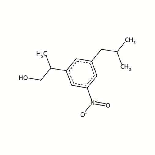 C[C](CO)c1cc(CC(C)C)cc([N+](=O)[O-])c1